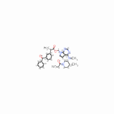 CC(C(=O)OCn1ccc2c(N(C)[C@H]3CN(C(=O)CC#N)CC[C@H]3C)ncnc21)c1cccc(C(=O)c2ccccc2)c1